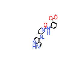 COC(=O)c1cccc(NC(=O)N2CC[C@@H](C)[C@@H](N(C)c3ccnc4[nH]ccc34)C2)c1